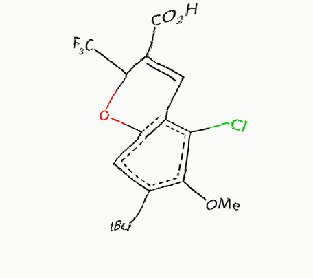 COc1c(C(C)(C)C)cc2c(c1Cl)C=C(C(=O)O)C(C(F)(F)F)O2